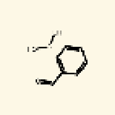 O=Cc1ccccc1.OBO